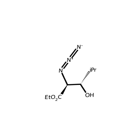 CCOC(=O)[C@@H](N=[N+]=[N-])[C@@H](O)C(C)C